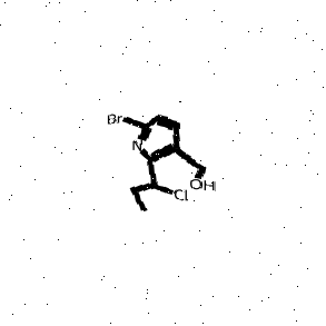 CCC(Cl)c1nc(Br)ccc1CO